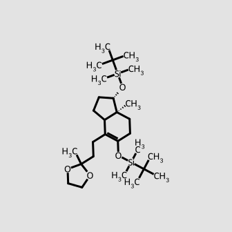 CC1(CCC2=C(O[Si](C)(C)C(C)(C)C)CC[C@@]3(C)C2CC[C@@H]3O[Si](C)(C)C(C)(C)C)OCCO1